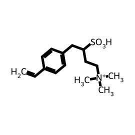 C=Cc1ccc(CC(CC[N+](C)(C)C)S(=O)(=O)O)cc1